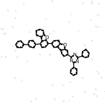 c1ccc(-c2ccc(-c3ccc(-c4ccc5oc6cc(-c7nc(-c8ccccc8)nc(-c8ccccc8)n7)ccc6c5c4)c4oc5ccccc5c34)cc2)cc1